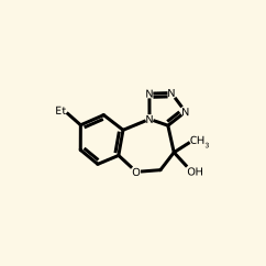 CCc1ccc2c(c1)-n1nnnc1C(C)(O)CO2